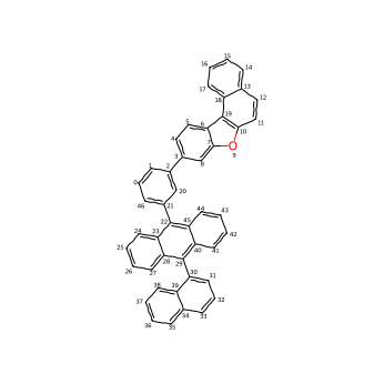 c1cc(-c2ccc3c(c2)oc2ccc4ccccc4c23)cc(-c2c3ccccc3c(-c3cccc4ccccc34)c3ccccc23)c1